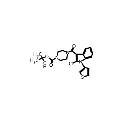 CC(C)(C)OC(=O)N1CCN(C(=O)c2c(Cl)n(-c3ccsc3)c3ccccc23)CC1